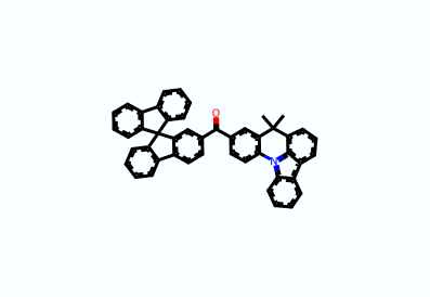 CC1(C)c2cc(C(=O)c3ccc4c(c3)C3(c5ccccc5-c5ccccc53)c3ccccc3-4)ccc2-n2c3ccccc3c3cccc1c32